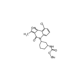 Cc1onc2c1c(=O)n(C1CCCC(NC(=O)OC(C)(C)C)C1)c1cccc(Cl)c21